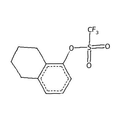 O=S(=O)(Oc1cccc2c1CCCC2)C(F)(F)F